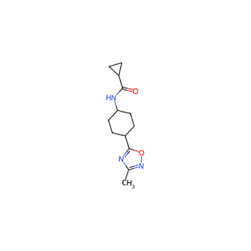 Cc1noc(C2CCC(NC(=O)C3CC3)CC2)n1